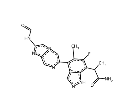 Cc1c(F)c(C(C)C(N)=O)c2[nH]ncc2c1-c1cn2cc(NC=O)nc2cn1